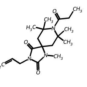 C=CCN1C(=O)N(C)C2(CC(C)(C)N(C(=O)CC)C(C)(C)C2)C1=O